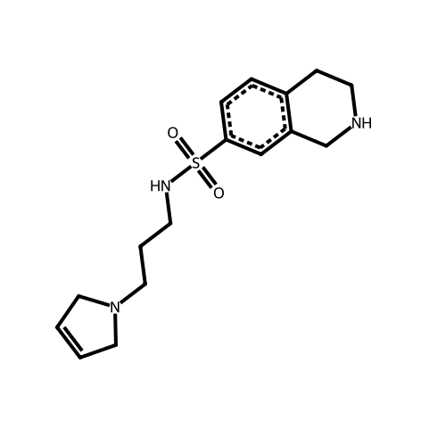 O=S(=O)(NCCCN1CC=CC1)c1ccc2c(c1)CNCC2